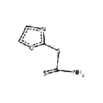 NC(=S)Sc1ncco1